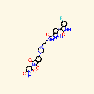 O=C1CCC(N2C(=O)c3ccc(N4CCN(CCCNC(=O)c5n[nH]c6c5CC/C6=C5/C(=O)Nc6ccc(F)cc65)CC4)cc3C2=O)C(=O)N1